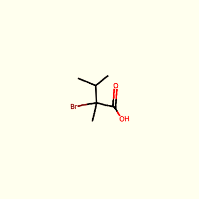 CC(C)C(C)(Br)C(=O)O